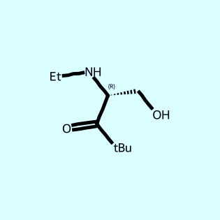 CCN[C@H](CO)C(=O)C(C)(C)C